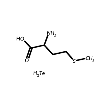 CSCCC(N)C(=O)O.[TeH2]